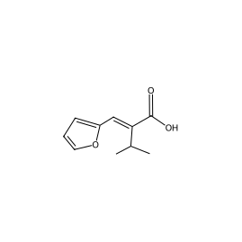 CC(C)/C(=C\c1ccco1)C(=O)O